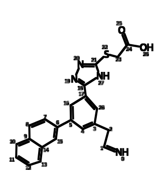 N=CCc1cc(-c2ccc3ccccc3c2)cc(-c2nnc(SCC(=O)O)[nH]2)c1